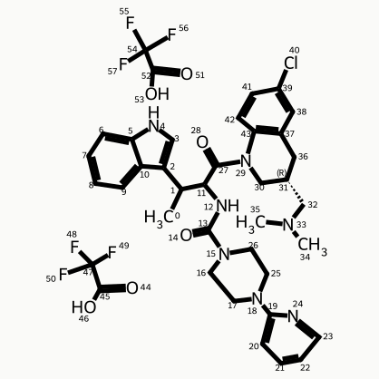 CC(c1c[nH]c2ccccc12)C(NC(=O)N1CCN(c2ccccn2)CC1)C(=O)N1C[C@@H](CN(C)C)Cc2cc(Cl)ccc21.O=C(O)C(F)(F)F.O=C(O)C(F)(F)F